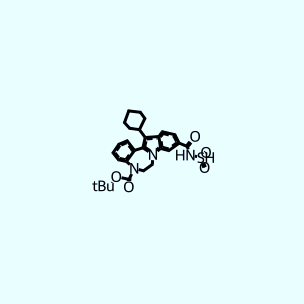 CC(C)(C)OC(=O)N1CCn2c(c(C3CCCCC3)c3ccc(C(=O)N[SH](=O)=O)cc32)-c2ccccc21